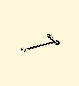 CCCCCCCCCCCCCCCCCC(CCCCC)[n+]1ccccc1